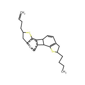 C=CCCC1Cc2ccc3c(c2S1)C1C=CC2=C(SC(CCCC)C2)C31